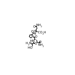 NC(=O)CC[C@H](NC(=O)[C@@H]1CCCN1C(=O)[C@H](CCC(N)=O)NC(=O)[C@@H](N)CO)C(=O)O